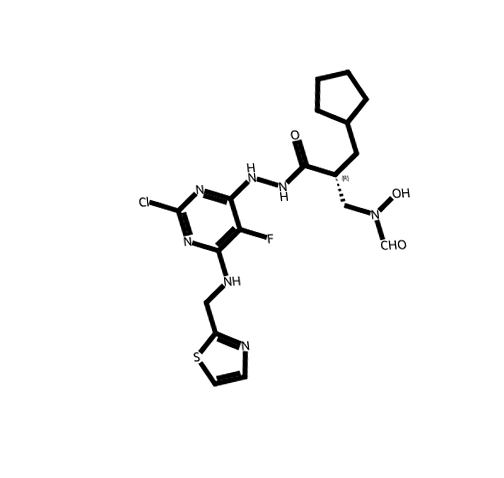 O=CN(O)C[C@@H](CC1CCCC1)C(=O)NNc1nc(Cl)nc(NCc2nccs2)c1F